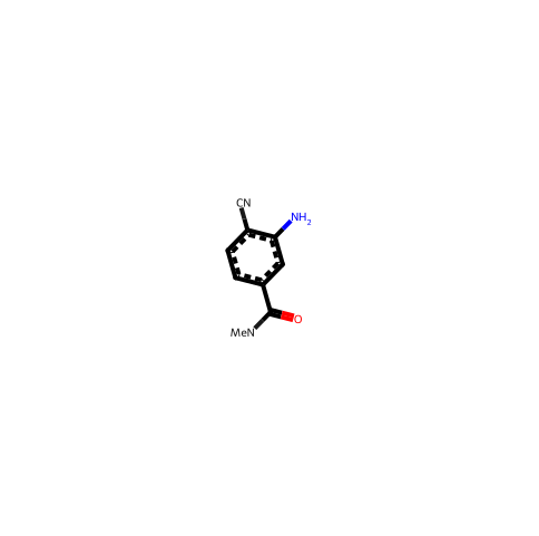 CNC(=O)c1ccc(C#N)c(N)c1